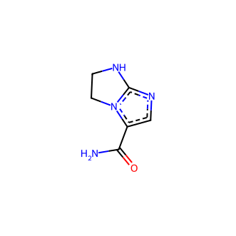 NC(=O)c1cnc2n1CCN2